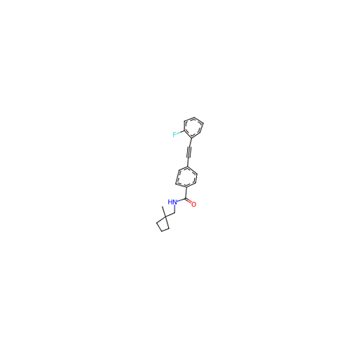 CC1(CNC(=O)c2ccc(C#Cc3ccccc3F)cc2)CCC1